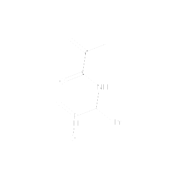 C=C(C)C(=O)NC(C(C)C)[PH](=O)O